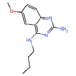 CCCCNc1nc(N)nc2ccc(OC)cc12